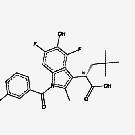 Cc1c([C@H](CC(C)(C)C)C(=O)O)c2c(F)c(O)c(F)cc2n1C(=O)c1cccc(F)c1